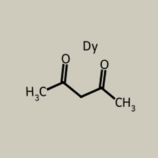 CC(=O)CC(C)=O.[Dy]